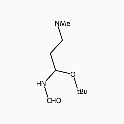 [CH2]NCCC(NC=O)OC(C)(C)C